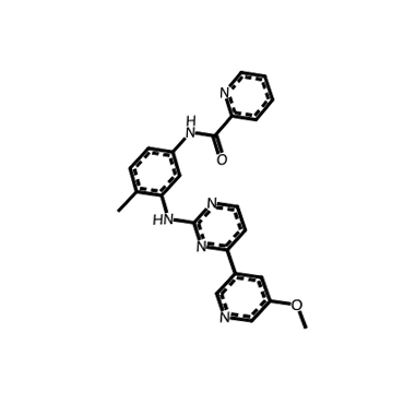 COc1cncc(-c2ccnc(Nc3cc(NC(=O)c4ccccn4)ccc3C)n2)c1